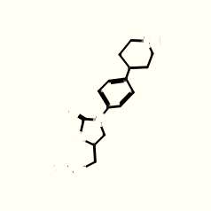 CC(=O)NCC1CN(c2ccc(C3CCNCC3)cc2)C(=O)O1